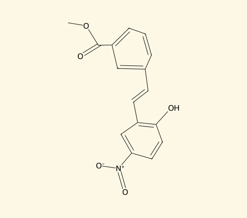 COC(=O)c1cccc(/C=C/c2cc([N+](=O)[O-])ccc2O)c1